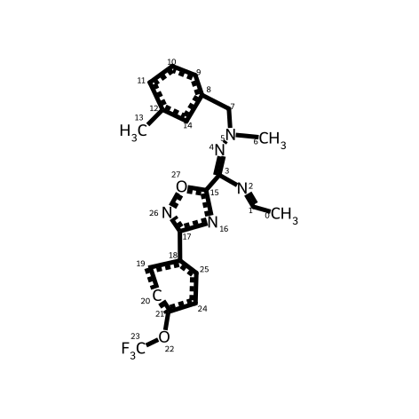 C/C=N/C(=N\N(C)Cc1cccc(C)c1)c1nc(-c2ccc(OC(F)(F)F)cc2)no1